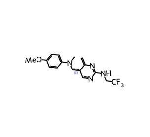 C=c1nc(NCC(F)(F)F)nc/c1=C/N(C)c1ccc(OC)cc1